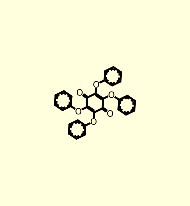 O=C1C(Oc2ccccc2)=C(Oc2ccccc2)C(=O)C(Oc2ccccc2)=C1Oc1ccccc1